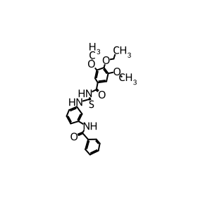 CCOc1c(OC)cc(C(=O)NC(=S)Nc2cccc(NC(=O)c3ccccc3)c2)cc1OC